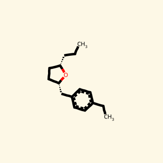 CCC[C@H]1CC[C@@H](Cc2ccc(CC)cc2)O1